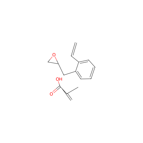 C=C(C)C(=O)O.C=Cc1ccccc1CC1CO1